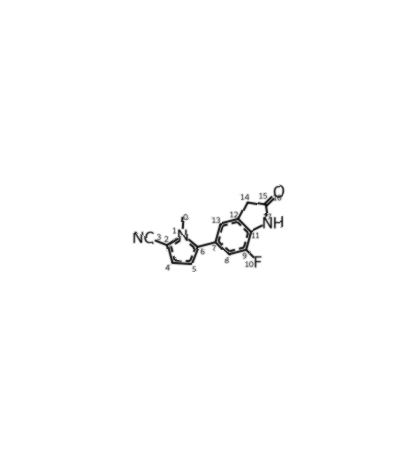 Cn1c(C#N)ccc1-c1cc(F)c2c(c1)CC(=O)N2